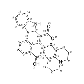 O=C(O)c1ccccc1-c1c(C2Nc3ccccc3S2)c(=O)oc2c3c4c(cc12)CCCN4CCC3